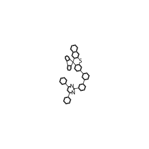 c1ccc(-c2cc(-c3ccccc3)nc(-c3cccc(-c4cccc(-c5ccc6c(c5)Sc5cc7ccccc7cc5C65c6ccccc6-c6ccccc65)c4)c3)n2)cc1